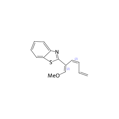 C=C/C=C\C(=C\OC)c1nc2ccccc2s1